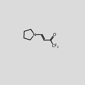 O=C(C=CN1CCCC1)C(F)(F)F